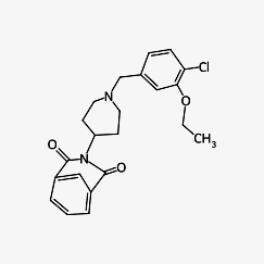 CCOc1cc(CN2CCC(N3C(=O)c4cccc(c4)C3=O)CC2)ccc1Cl